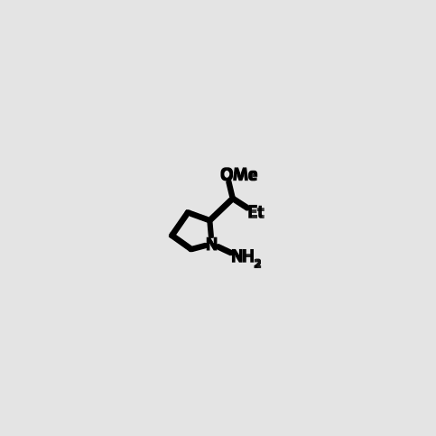 CCC(OC)C1CCCN1N